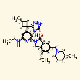 CCNc1cc(C2(c3nncn3C)CC(C)C2)cc(N2Cc3c(SC)cc(CN4CCC[C@H](C)C4)cc3C2=O)n1